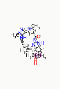 Cc1cc2cc(n1)-c1cnn(C)c1NCCCC(C)CN1/C(=N/C2=O)Nc2ccc([PH](C)(C)O)cc21